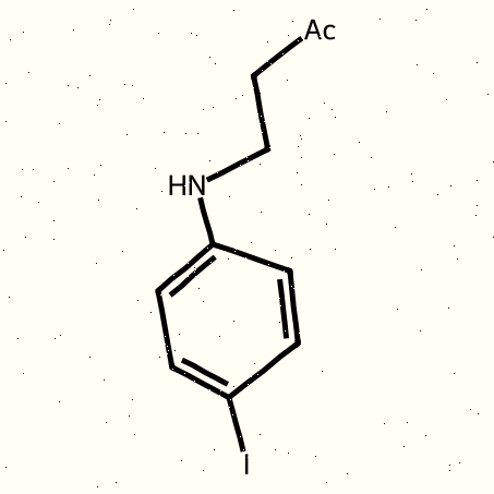 CC(=O)CCNc1ccc(I)cc1